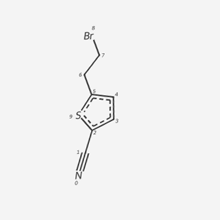 N#Cc1ccc(CCBr)s1